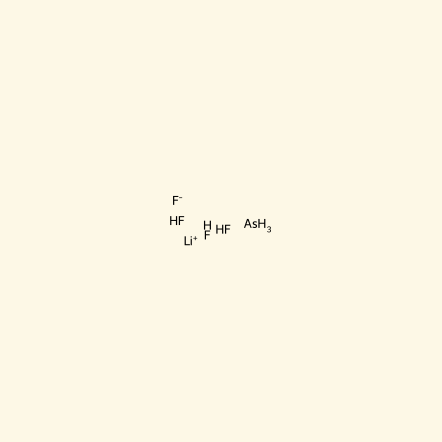 F.F.F.[AsH3].[F-].[Li+]